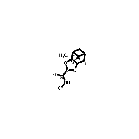 CC[C@H](NCl)B1OC2CC3CC(C3(C)C)[C@]2(C)O1